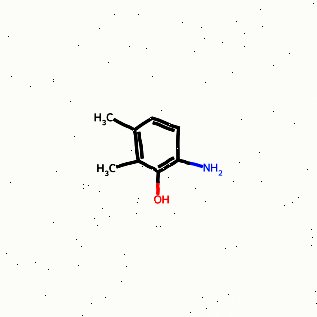 Cc1ccc(N)c(O)c1C